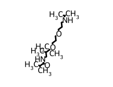 CC(C)NCCCOCCCOC(C)(C)C(C)CNC(=O)C(C)C